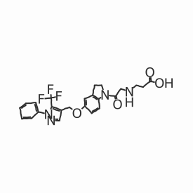 O=C(O)CCNCC(=O)N1CCc2cc(OCc3cnn(-c4ccccc4)c3C(F)(F)F)ccc21